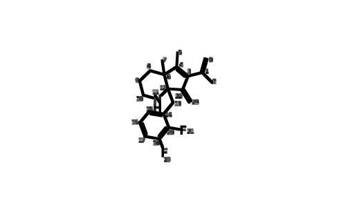 C=C(C)C1=C(C)C2(C)CCCNC2(Cc2cccc(F)c2F)C1=C